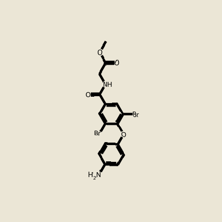 COC(=O)CNC(=O)c1cc(Br)c(Oc2ccc(N)cc2)c(Br)c1